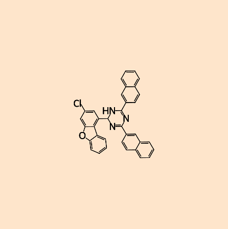 Clc1cc(C2N=C(c3ccc4ccccc4c3)N=C(c3ccc4ccccc4c3)N2)c2c(c1)oc1ccccc12